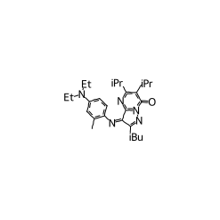 CCC(C)C1=Nn2c(nc(C(C)C)c(C(C)C)c2=O)C1=Nc1ccc(N(CC)CC)cc1C